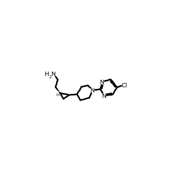 NCC[C@@H]1CC1C1CCN(c2ncc(Cl)cn2)CC1